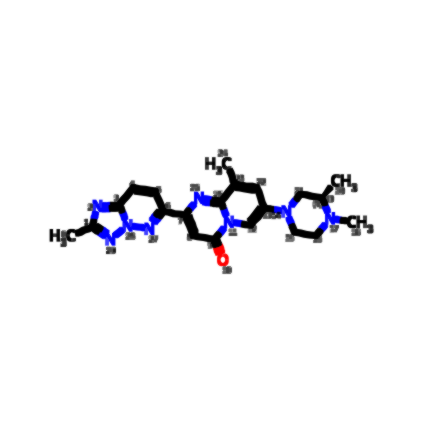 Cc1nc2ccc(-c3cc(=O)n4cc(N5CCN(C)[C@H](C)C5)cc(C)c4n3)nn2n1